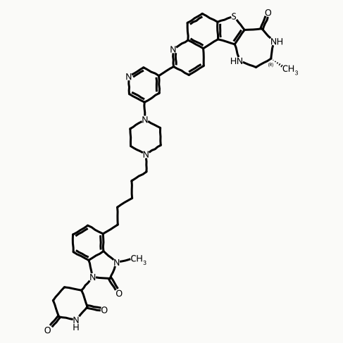 C[C@@H]1CNc2c(sc3ccc4nc(-c5cncc(N6CCN(CCCCCc7cccc8c7n(C)c(=O)n8C7CCC(=O)NC7=O)CC6)c5)ccc4c23)C(=O)N1